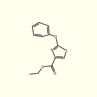 CCOC(=O)c1csc(Oc2ccccc2)n1